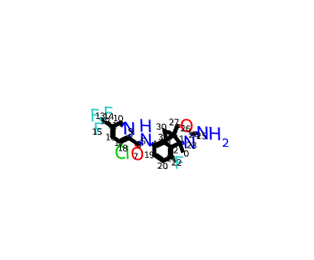 CC1(c2cc(NC(=O)c3ncc(C(F)(F)F)cc3Cl)ccc2F)N=C(N)OCC12CC2